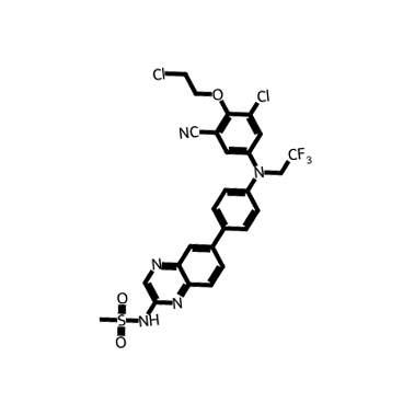 CS(=O)(=O)Nc1cnc2cc(-c3ccc(N(CC(F)(F)F)c4cc(Cl)c(OCCCl)c(C#N)c4)cc3)ccc2n1